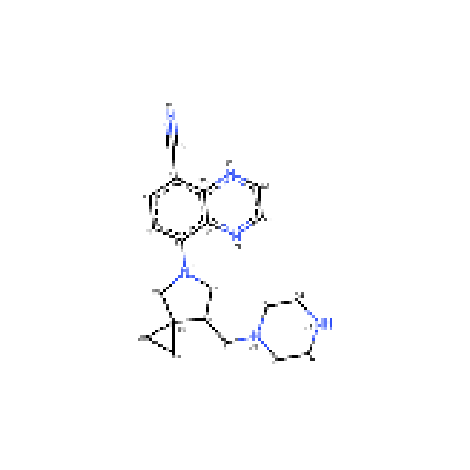 N#Cc1ccc(N2CC(CN3CCNCC3)C3(CC3)C2)c2nccnc12